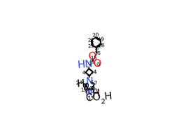 O=C(NC1CC(N2C[C@@H]3C[C@H]2CN3C(=O)O)C1)OCc1ccccc1